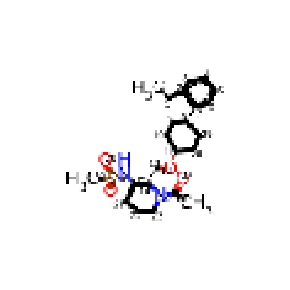 CCc1ccccc1[C@H]1CC[C@@H](OC[C@H]2[C@@H](NS(C)(=O)=O)CCCN2C(C)=O)CC1